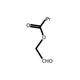 CC(C)C(=O)OC[C]=O